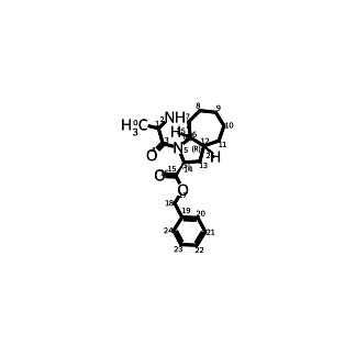 CC(N)C(=O)N1[C@@H]2CCCCC[C@@H]2C[C@H]1C(=O)OCc1ccccc1